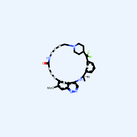 COc1cc2nncc3c2cc1CCCC(=O)NCCCCN1CCC(CC1)C(F)(F)c1cccc(c1)[C@@H](C)N3